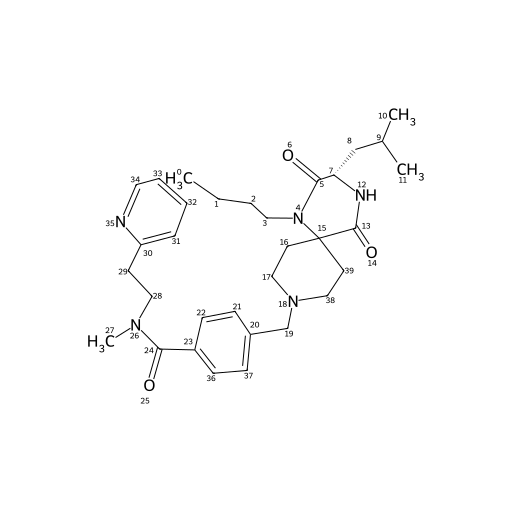 CCCCN1C(=O)[C@H](CC(C)C)NC(=O)C12CCN(Cc1ccc(C(=O)N(C)CCc3ccccn3)cc1)CC2